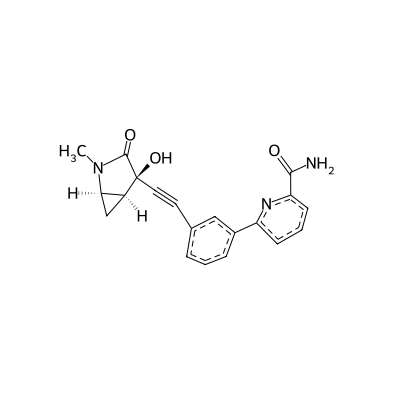 CN1C(=O)[C@](O)(C#Cc2cccc(-c3cccc(C(N)=O)n3)c2)[C@H]2C[C@H]21